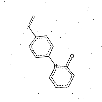 C=Nc1ccc(-n2ccccc2=O)cc1